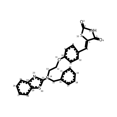 O=C1NC(=O)/C(=C/c2ccc(OCCN(Cc3ccccc3)c3nc4ccccc4s3)cc2)S1